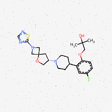 CC(C)(O)COc1ccc(F)cc1C1CCN([C@@H]2COC3(C2)CN(c2ncns2)C3)CC1